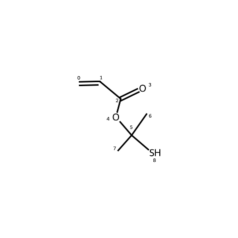 C=CC(=O)OC(C)(C)S